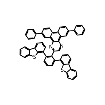 c1ccc(-c2ccc3c4ccc(-c5ccccc5)cc4c4nc(-c5c(-c6cccc7c6sc6ccccc67)cccc5-c5cccc6c5sc5ccccc56)cnc4c3c2)cc1